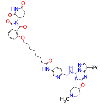 CC(C)c1cnn2c(NCc3ccc(NC(=O)CCCCCCCOc4cccc5c4C(=O)N(C4CCC(=O)NC4=O)C5=O)cn3)nc(OC3CCN(C)CC3)nc12